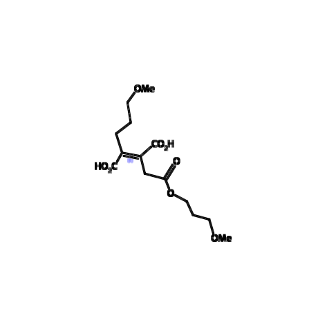 COCCCOC(=O)C/C(C(=O)O)=C(/CCCOC)C(=O)O